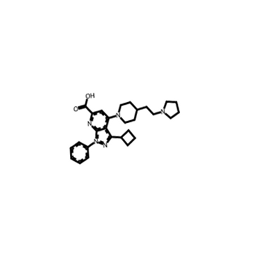 O=C(O)c1cc(N2CCC(CCN3CCCC3)CC2)c2c(C3CCC3)nn(-c3ccccc3)c2n1